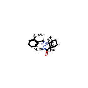 COc1ccccc1/C=[N+]1/[C@@H]2[C@H]3CC[C@H](C3)[C@@H]2C(=O)N1C